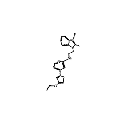 CCOc1csc(-c2cc(NCCn3c(C)c(F)c4ccccc43)ncn2)c1